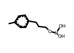 Cc1ccc(CCCON(O)O)cc1